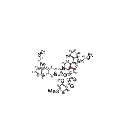 CCOCCn1cc(C2CCN(CCOc3cc(OC)ccc3C(=O)OC(=O)c3cc(C)ccc3OCCN3CCC(c4cn(CCOCC)c5cccc(F)c45)CC3)CC2)c2c(F)cccc21